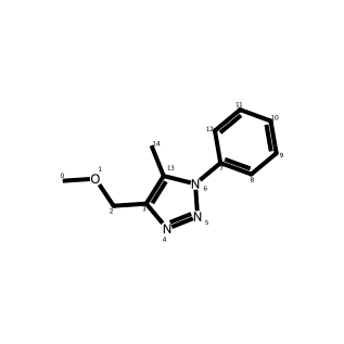 COCc1nnn(-c2ccccc2)c1C